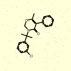 CC1=C(c2ccccc2)C(=O)N(C(C)(C)c2cccc(Cl)c2)CO1